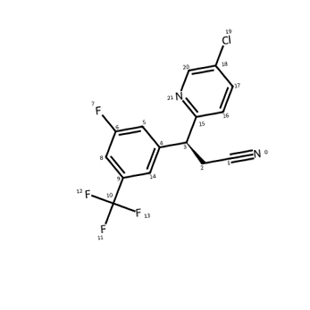 N#CC[C@@H](c1cc(F)cc(C(F)(F)F)c1)c1ccc(Cl)cn1